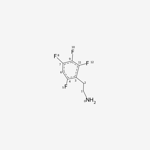 NCCc1c(F)cc(F)c(F)c1F